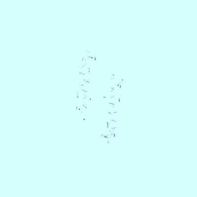 N=C(N)Nc1ccc(C(=O)Oc2ccc(C(=O)N[C@H](CC(=O)O)C(=O)O)c(OCCOc3cc(OC(=O)c4ccc(NC(=N)N)cc4)ccc3C(=O)N[C@H](CC(=O)O)C(=O)O)c2)cc1